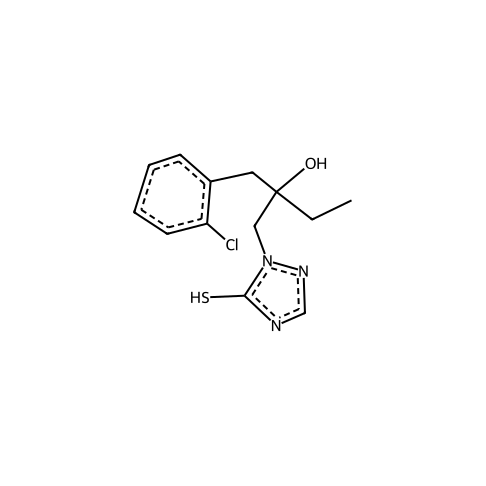 CCC(O)(Cc1ccccc1Cl)Cn1ncnc1S